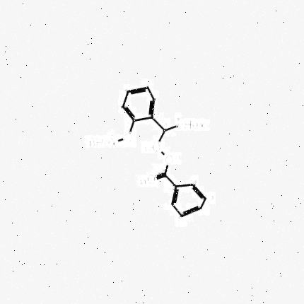 CCCCCCOc1ccccc1C(CCCCCC)OOC(=O)c1ccccc1